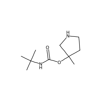 CC(C)(C)NC(=O)OC1(C)CCNC1